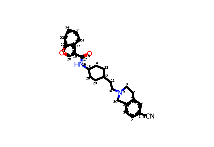 N#Cc1ccc2c(c1)CCN(CCC1CCC(NC(=O)c3coc4ccccc34)CC1)C2